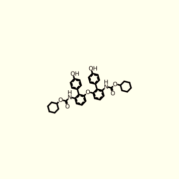 O=C(Nc1cccc(Oc2cccc(NC(=O)OC3CCCCC3)c2-c2ccc(O)cc2)c1-c1ccc(O)cc1)OC1CCCCC1